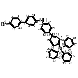 Brc1ccc(-c2ccc(Nc3ccc(-c4ccc([N+](c5ccccc5)(c5ccccc5)c5ccccc5)cc4)cc3)cc2)cc1